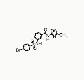 Cc1noc(NC(=O)c2cccc(NS(=O)(=O)c3ccc(Br)cc3)c2)n1